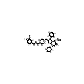 CC(C)(C)OC(=O)CN(C1CCCCC1)C1CC(CN2CCC(CCCc3ccc(F)c(F)c3)CC2)C(c2ccccc2)C1